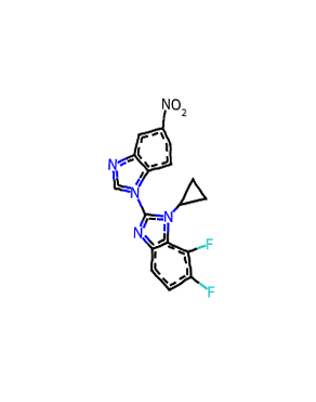 O=[N+]([O-])c1ccc2c(c1)ncn2-c1nc2ccc(F)c(F)c2n1C1CC1